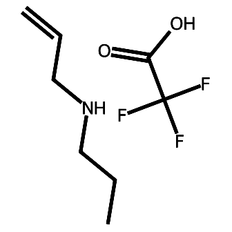 C=CCNCCC.O=C(O)C(F)(F)F